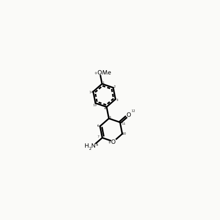 COc1ccc(C2C=C(N)OCC2=O)cc1